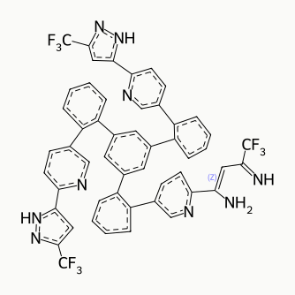 N=C(/C=C(\N)c1ccc(-c2ccccc2-c2cc(-c3ccccc3-c3ccc(-c4cc(C(F)(F)F)n[nH]4)nc3)cc(-c3ccccc3-c3ccc(-c4cc(C(F)(F)F)n[nH]4)nc3)c2)cn1)C(F)(F)F